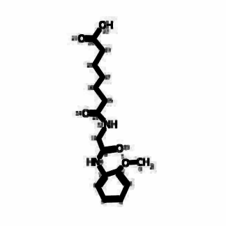 COc1ccccc1NC(=O)CNC(=O)CCCCCC(=O)O